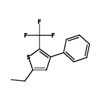 CCc1cc(-c2ccccc2)c(C(F)(F)F)s1